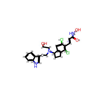 O=C(/C=C/c1c(Cl)cc2c(c1Cl)CCC2N(CCO)CCc1c[nH]c2ccccc12)NO